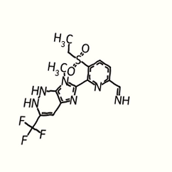 CCS(=O)(=O)c1ccc(C=N)nc1-c1nc2c(n1C)NNC(C(F)(F)F)=C2